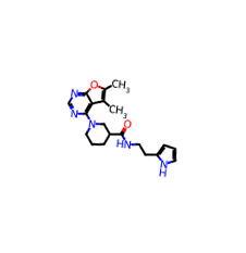 Cc1oc2ncnc(N3CCCC(C(=O)NCCc4ccc[nH]4)C3)c2c1C